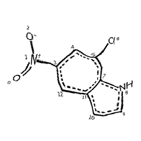 O=[N+]([O-])c1cc(Cl)c2[nH]ccc2c1